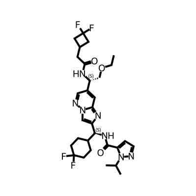 CCOC[C@@H](NC(=O)CC1CC(F)(F)C1)c1cnn2cc([C@@H](NC(=O)c3ccnn3C(C)C)C3CCC(F)(F)CC3)nc2c1